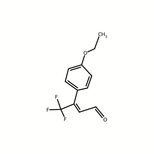 CCOc1ccc(/C(=C\C=O)C(F)(F)F)cc1